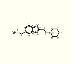 O=CCc1ccc2oc(CCN3CCCCC3)cc2c1